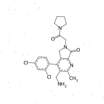 Cc1nc2c(c(-c3ccc(Cl)cc3Cl)c1CN)CN(CC(=O)N1CCCC1)C2=O